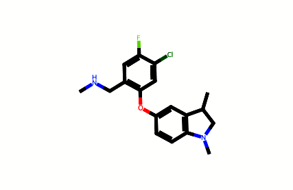 CNCc1cc(F)c(Cl)cc1Oc1ccc2c(c1)C(C)CN2C